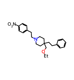 CCOCC1(CCc2ccccc2)CCN(CCc2ccc([N+](=O)[O-])cc2)CC1